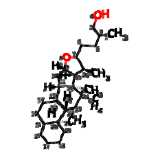 C.CC(CO)CCC1O[C@H]2C[C@H]3[C@@H]4CCC5CCCC[C@]5(C)[C@H]4CC[C@]3(C)[C@H]2[C@@H]1C